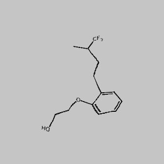 CC(CCc1ccccc1OCCO)C(F)(F)F